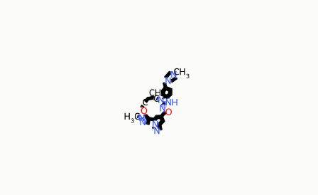 C[C@@H]1CCCOc2c(cnn2C)-c2cc(cc3cncn23)C(=O)/N=C2\Nc3ccc(CN4CCN(C)CC4)cc3N2C1